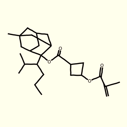 C=C(C)C(=O)OC1CC(C(=O)OC2(C(CCC)C(C)C)C3CC4CC2CC(C)(C4)C3)C1